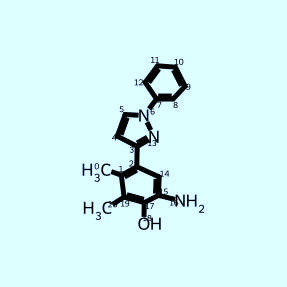 Cc1c(-c2ccn(-c3ccccc3)n2)cc(N)c(O)c1C